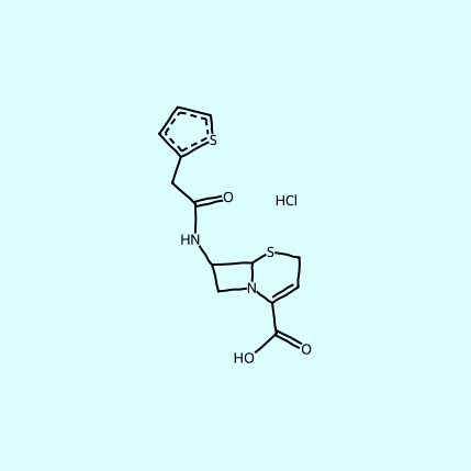 Cl.O=C(Cc1cccs1)NC1CN2C(C(=O)O)=CCSC12